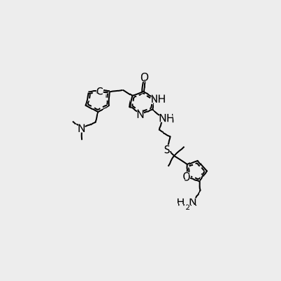 CN(C)Cc1cccc(Cc2cnc(NCCSC(C)(C)c3ccc(CN)o3)[nH]c2=O)c1